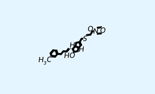 Cc1cccc(CC/C=C/[C@@H]2[C@H]3CC(CSCCC(=O)N4CCOCC4)=C[C@H]3C[C@H]2O)c1